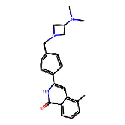 Cc1cccc2c(=O)[nH]c(-c3ccc(CN4CC(N(C)C)C4)cc3)cc12